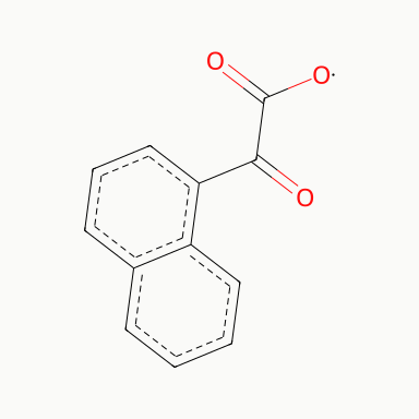 [O]C(=O)C(=O)c1cccc2ccccc12